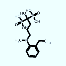 CCc1ccccc1N(C)CCCC(O)(P(=O)(O)O)P(=O)(O)O